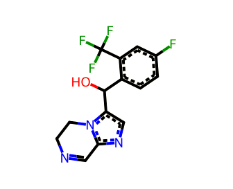 OC(c1ccc(F)cc1C(F)(F)F)c1cnc2n1CCN=C2